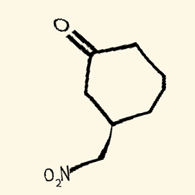 O=C1CCC[C@@H](C[N+](=O)[O-])C1